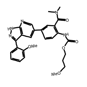 COCCCOC(=O)Nc1ccc(-c2cnc3[nH]nc(-c4ccccc4OC)c3c2)cc1C(=O)N(C)C